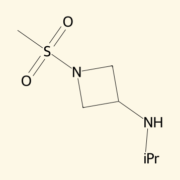 CC(C)NC1CN(S(C)(=O)=O)C1